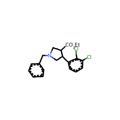 CCOC(=O)C1CN(Cc2ccccc2)CC1c1cccc(Cl)c1Cl